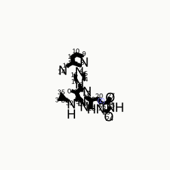 Cc1c(N2CCN(c3ncccc3C#N)CC2)nc2c(/C=C3\NC(=O)NC3=O)cnn2c1NC1CC1